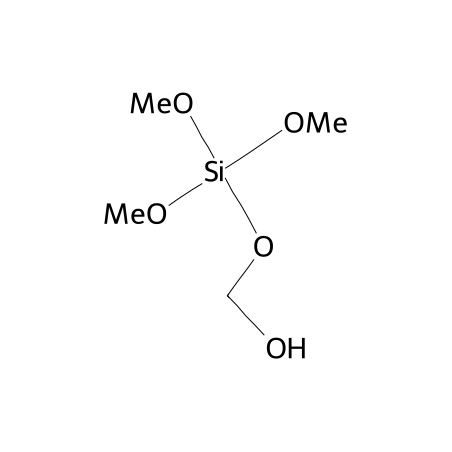 CO[Si](OC)(OC)OCO